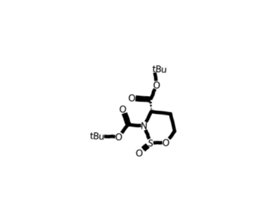 CC(C)(C)OC(=O)[C@@H]1CCOS(=O)N1C(=O)OC(C)(C)C